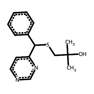 CC(C)(O)CSC(c1ccccc1)c1ccncn1